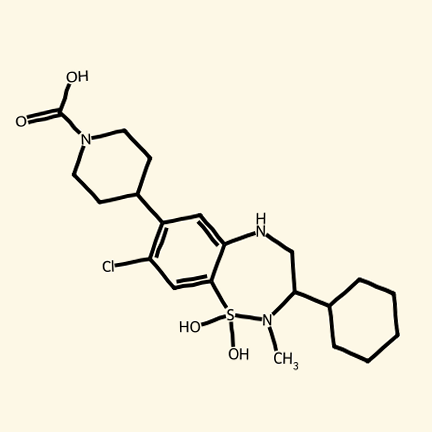 CN1C(C2CCCCC2)CNc2cc(C3CCN(C(=O)O)CC3)c(Cl)cc2S1(O)O